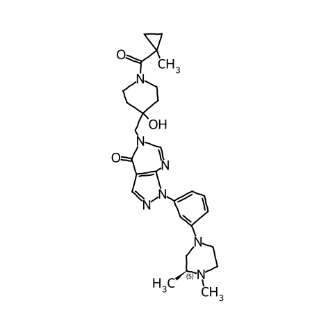 C[C@H]1CN(c2cccc(-n3ncc4c(=O)n(CC5(O)CCN(C(=O)C6(C)CC6)CC5)cnc43)c2)CCN1C